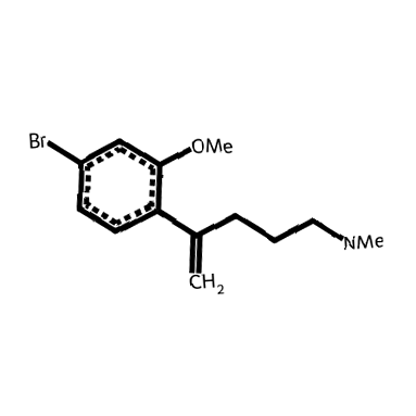 C=C(CCCNC)c1ccc(Br)cc1OC